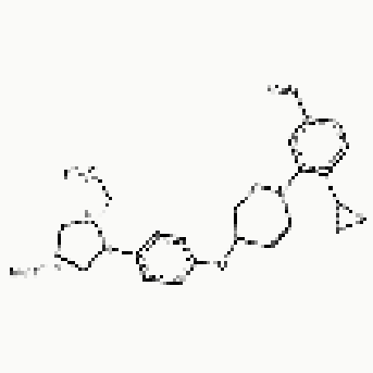 COc1ccc(C2CC2)c(N2CCC(Oc3ccc(N4C[C@H](OC)C[C@@H]4CC(=O)O)cc3)CC2)c1